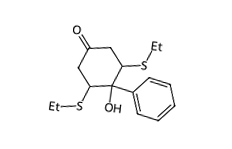 CCSC1CC(=O)CC(SCC)C1(O)c1ccccc1